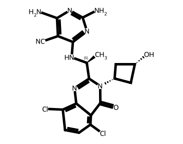 C[C@H](Nc1nc(N)nc(N)c1C#N)c1nc2c(Cl)ccc(Cl)c2c(=O)n1[C@H]1C[C@@H](O)C1